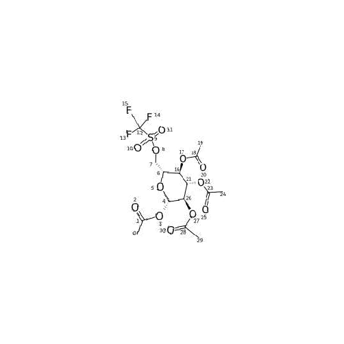 CC(=O)O[C@@H]1O[C@H](COS(=O)(=O)C(F)(F)F)[C@@H](OC(C)=O)[C@H](OC(C)=O)[C@H]1OC(C)=O